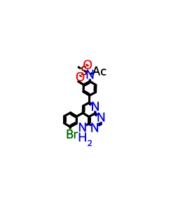 CC(=O)N(c1ccc(-c2cc(-c3cccc(Br)c3)c3c(N)ncnc3n2)cc1C)S(C)(=O)=O